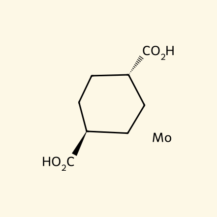 O=C(O)[C@H]1CC[C@H](C(=O)O)CC1.[Mo]